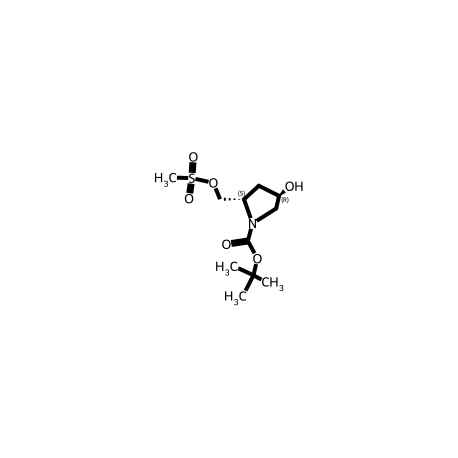 CC(C)(C)OC(=O)N1C[C@H](O)C[C@H]1COS(C)(=O)=O